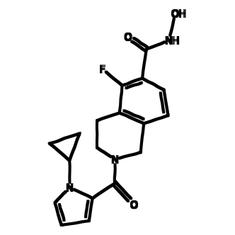 O=C(NO)c1ccc2c(c1F)CCN(C(=O)c1cccn1C1CC1)C2